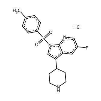 Cc1ccc(S(=O)(=O)n2cc(C3CCNCC3)c3cc(F)cnc32)cc1.Cl